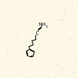 N/C=C/CCCCCCc1ccccc1